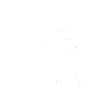 CC(CCC1(C(=O)O)CC=CCC1(C)C(=O)O)CC(C)(C)C